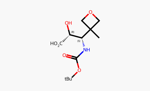 CC(C)(C)OC(=O)N[C@H]([C@@H](O)C(=O)O)C1(C)COC1